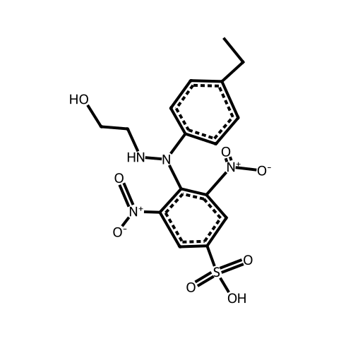 CCc1ccc(N(NCCO)c2c([N+](=O)[O-])cc(S(=O)(=O)O)cc2[N+](=O)[O-])cc1